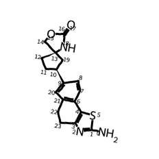 Nc1nc2c(s1)-c1ccc([C@H]3CC[C@]4(COC(=O)N4)C3)cc1CC2